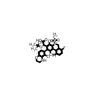 Cc1c(-c2ccc3c(c2Cl)NCCO3)c([C@H](OC(C)(C)C)C(=O)O)c(C)c2c1-c1c(F)ccc(F)c1CN2S(C)(=O)=O